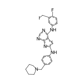 Fc1ccc(Nc2ncnc3nc(Nc4ccc(CN5CCCCC5)cc4)sc23)cc1CI